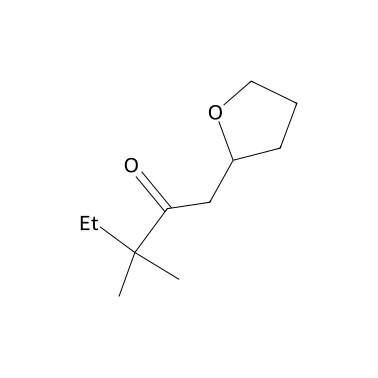 CCC(C)(C)C(=O)CC1CCCO1